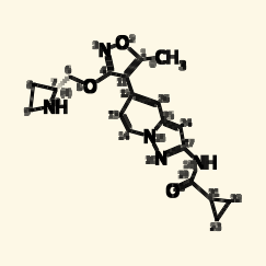 Cc1onc(OC[C@H]2CCN2)c1-c1ccn2nc(NC(=O)C3CC3)cc2c1